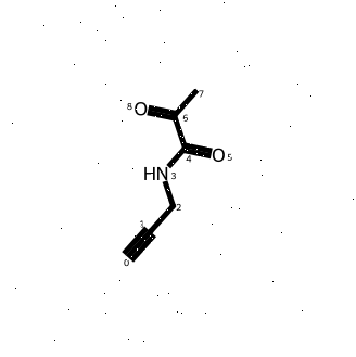 C#CCNC(=O)C(C)=O